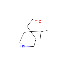 CC1(C)OCCC12CCNCC2